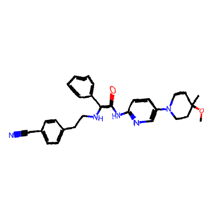 COC1(C)CCN(c2ccc(NC(=O)C(NCCc3ccc(C#N)cc3)c3ccccc3)nc2)CC1